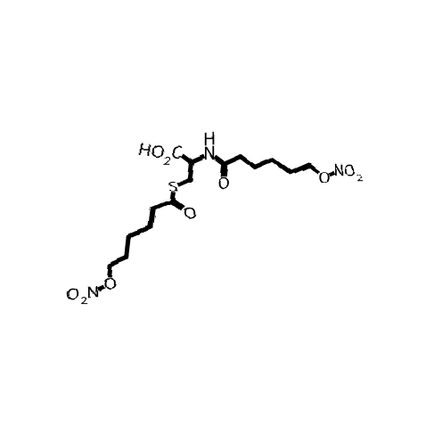 O=C(CCCCCO[N+](=O)[O-])NC(CSC(=O)CCCCCO[N+](=O)[O-])C(=O)O